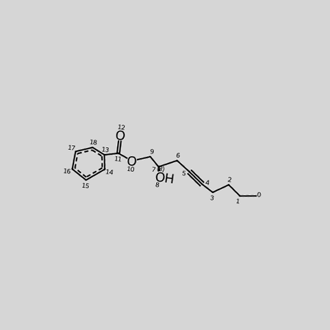 CCCCC#CC[C@@H](O)COC(=O)c1ccccc1